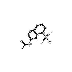 CC(=O)Nc1ccc2cccc(S(=O)(=O)O)c2c1